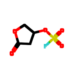 O=C1CC(OS(=O)(=O)F)CO1